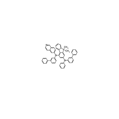 CC1(C)c2ccccc2-c2c(N(c3cccc(-c4ccccc4)c3)c3ccc4cnccc4c3)cc(N(c3ccccc3)c3cccc(-c4ccccc4)c3)cc21